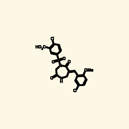 COc1ccc(Cl)cc1/C=C1\CNC(=O)CN(S(=O)(=O)c2ccc(Cl)c(C(=O)O)c2)C1=O